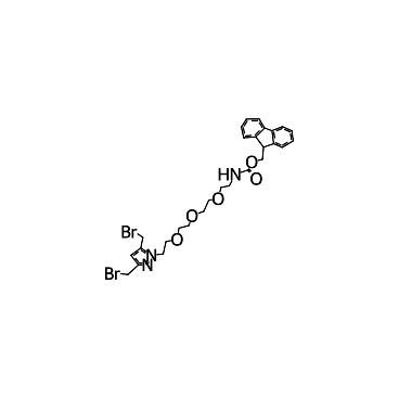 O=C(NCCOCCOCCOCCn1nc(CBr)cc1CBr)OCC1c2ccccc2-c2ccccc21